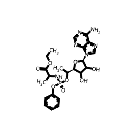 CCOC(=O)C(C)NP(=O)(Oc1ccccc1)OC(C)[C@H]1O[C@@H](n2cnc3c(N)ncnc32)C(O)C1O